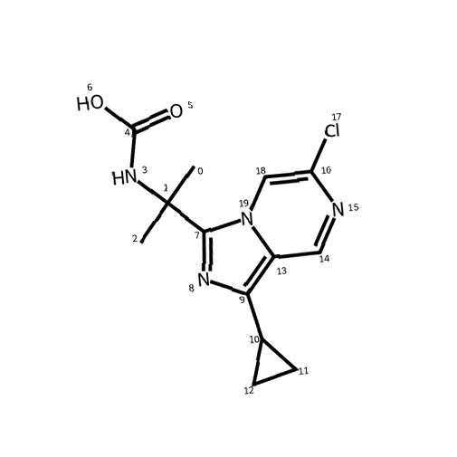 CC(C)(NC(=O)O)c1nc(C2CC2)c2cnc(Cl)cn12